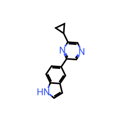 c1cc2cc(-c3cncc(C4CC4)n3)ccc2[nH]1